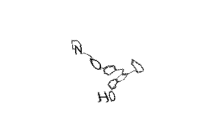 Oc1ccc2c(c1)CC(c1ccccc1)=C2Cc1ccc(OCCN2CCCC2)cc1